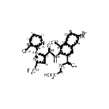 O=C(O)CNC(=O)c1cc2cc(Br)ccc2c(Cl)c1NC(=O)c1cc(C(F)(F)F)nn1-c1ncccc1Cl